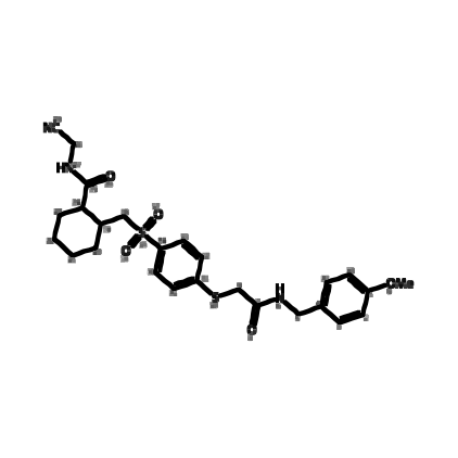 COc1ccc(CNC(=O)CSc2ccc(S(=O)(=O)CC3CCCCC3C(=O)NCC#N)cc2)cc1